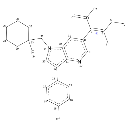 C=C(C)/C(=C(/C)CC)c1cnc2c(-c3ccc(C)cc3)cn(CC3(F)CCCCC3)c2c1